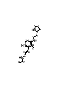 C=N/C(NCC[C@H]1CCCN1)=C(/C)C(=N)/C=C/ONCC